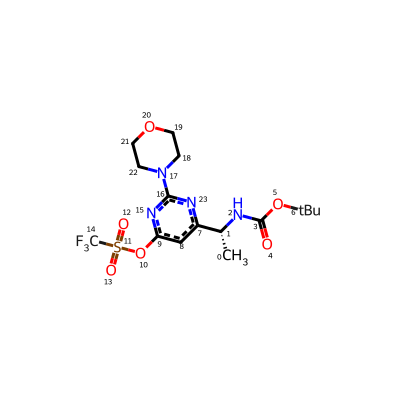 C[C@@H](NC(=O)OC(C)(C)C)c1cc(OS(=O)(=O)C(F)(F)F)nc(N2CCOCC2)n1